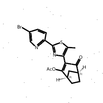 CC(=O)OC1=C(c2nc(-c3ccc(Br)cn3)sc2C)C(=O)[C@H]2CC[C@@H]1C2